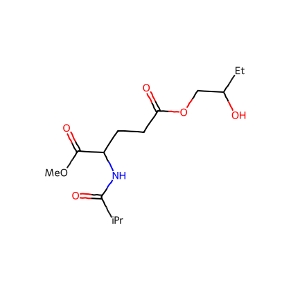 CCC(O)COC(=O)CCC(NC(=O)C(C)C)C(=O)OC